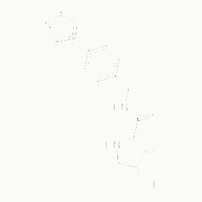 O=C(NCc1ccc(-c2cnco2)cc1)C1CC(O)CN1